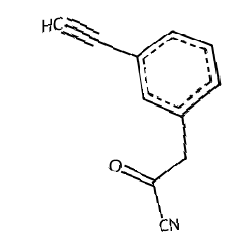 C#Cc1cccc(CC(=O)C#N)c1